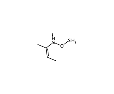 CC=C(C)[SiH](C)O[SiH3]